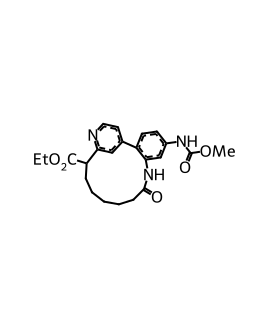 CCOC(=O)C1CCCCCC(=O)Nc2cc(NC(=O)OC)ccc2-c2ccnc1c2